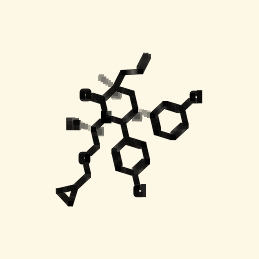 C=CC[C@@]1(C)C[C@H](c2cccc(Cl)c2)C(c2ccc(Cl)cc2)N([C@@H](CC)COCC2CC2)C1=O